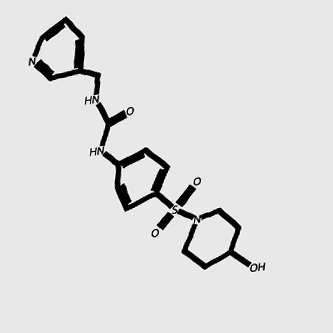 O=C(NCc1cccnc1)Nc1ccc(S(=O)(=O)N2CCC(O)CC2)cc1